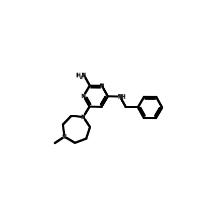 CN1CCCN(c2cc(NCc3ccccc3)nc(N)n2)CC1